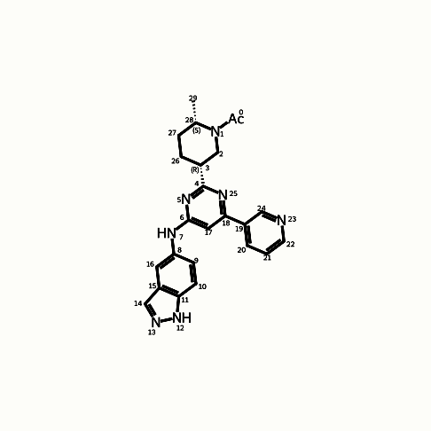 CC(=O)N1C[C@H](c2nc(Nc3ccc4[nH]ncc4c3)cc(-c3cccnc3)n2)CC[C@@H]1C